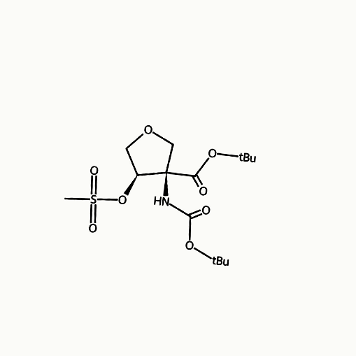 CC(C)(C)OC(=O)N[C@]1(C(=O)OC(C)(C)C)COC[C@@H]1OS(C)(=O)=O